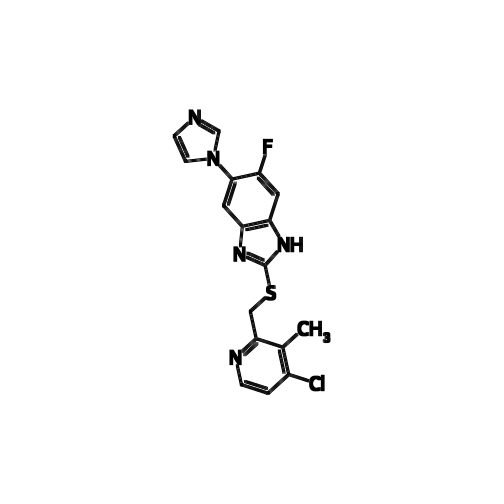 Cc1c(Cl)ccnc1CSc1nc2cc(-n3ccnc3)c(F)cc2[nH]1